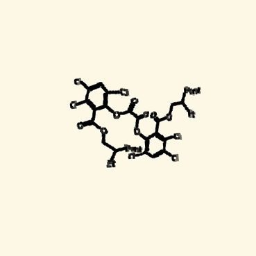 CCCC(C)C(CC)COC(=O)c1c(Cl)c(Cl)cc(Cl)c1OC(=O)C(=O)Oc1c(Cl)cc(Cl)c(Cl)c1C(=O)OCC(CC)C(C)CCC